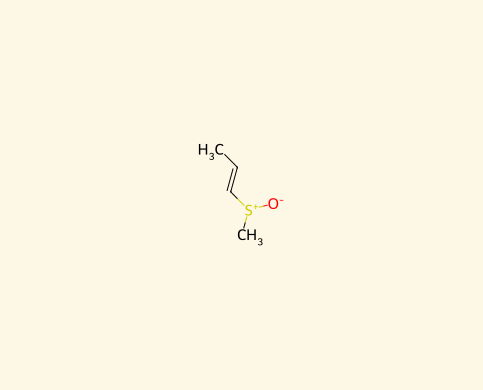 CC=C[S+](C)[O-]